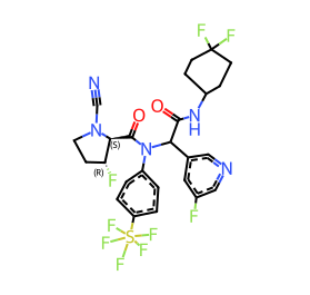 N#CN1CC[C@@H](F)[C@@H]1C(=O)N(c1ccc(S(F)(F)(F)(F)F)cc1)C(C(=O)NC1CCC(F)(F)CC1)c1cncc(F)c1